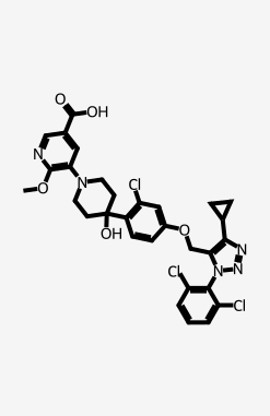 COc1ncc(C(=O)O)cc1N1CCC(O)(c2ccc(OCc3c(C4CC4)nnn3-c3c(Cl)cccc3Cl)cc2Cl)CC1